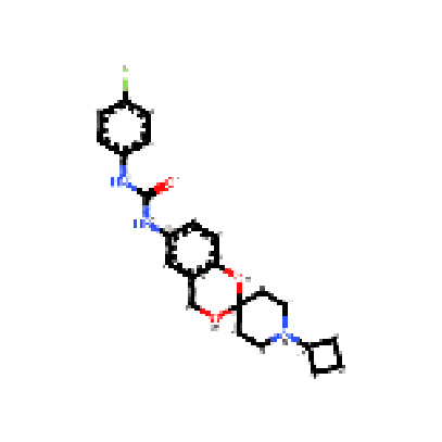 O=C(Nc1ccc(F)cc1)Nc1ccc2c(c1)COC1(CCN(C3CCC3)CC1)O2